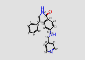 O=c1[nH]cc(-c2ccccc2)c2cc(NCc3ccncc3)ccc12